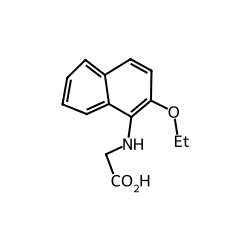 CCOc1ccc2ccccc2c1NCC(=O)O